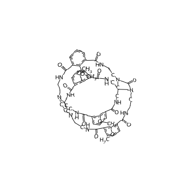 COc1c2cccc1C(=O)NCCN1CCNC(=O)c3cccc(c3OC)C(=O)NCCN(CCNC2=O)CCN2CCNC(=O)c3cccc(c3OC)C(=O)NCCN(CCNC(=O)c3cccc(c3OC)C(=O)NCC2)C1=O